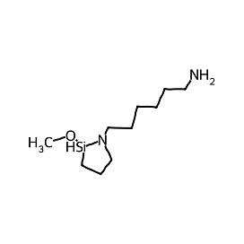 CO[SiH]1CCCN1CCCCCCN